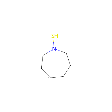 SN1CC[CH]CCC1